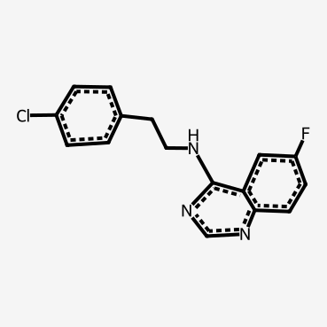 Fc1ccc2ncnc(NCCc3ccc(Cl)cc3)c2c1